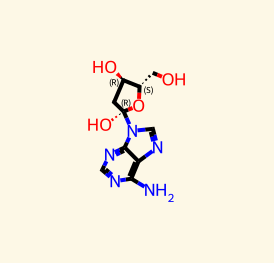 Nc1ncnc2c1ncn2[C@@]1(O)C[C@@H](O)[C@H](CO)O1